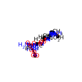 Cc1c(Nc2nc3ccccc3s2)nnc2c1CCCN2c1ccc(-c2cnn(CC34CC5(C)CC(C)(C3)CC(OCCN(CC(=O)O)C(=O)OCc3ccc(NC(=O)[C@H](CCCNC(N)=O)NC(=O)[C@@H](NC(=O)CCOCCN6C(=O)C=CC6=O)C(C)C)cc3)(C5)C4)c2C)c(C(=O)O)n1